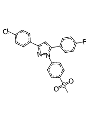 CS(=O)(=O)c1ccc(-n2nc(-c3ccc(Cl)cc3)cc2-c2ccc(F)cc2)cc1